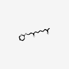 CC(=O)CCCCCC(=O)CCOC1CCCCO1